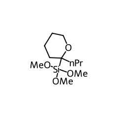 CCCC1([Si](OC)(OC)OC)CCCCO1